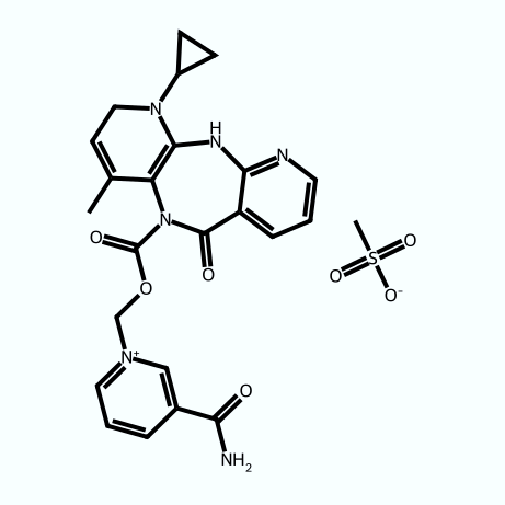 CC1=CCN(C2CC2)C2=C1N(C(=O)OC[n+]1cccc(C(N)=O)c1)C(=O)c1cccnc1N2.CS(=O)(=O)[O-]